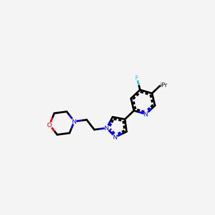 CC(C)c1cnc(-c2cnn(CCN3CCOCC3)c2)cc1F